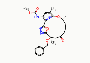 C[C@@H]1CCCC(=O)C[C@](OCc2ccccc2)(C(F)(F)F)c2nnc(o2)-c2nc(c(C(F)(F)F)cc2NC(=O)OC(C)(C)C)O1